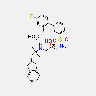 CN(C[C@H](O)CNC(C)(C)CC1Cc2ccccc2C1)S(=O)(=O)c1cccc(-c2ccc(F)cc2CC(=O)O)c1